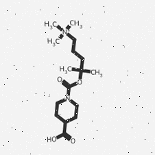 CC(C)(CCC[N+](C)(C)C)OC(=O)N1CCC(C(=O)O)CC1